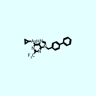 FC(F)(F)c1nc([AsH]C2CC2)c2ncn(Cc3ccc(-c4ccccc4)cc3)c2n1